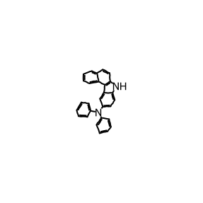 c1ccc(N(c2ccccc2)c2ccc3[nH]c4ccc5ccccc5c4c3c2)cc1